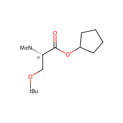 CN[C@@H](COC(C)(C)C)C(=O)OC1CCCC1